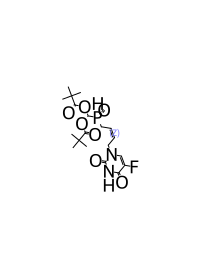 CC(C)(C)C(=O)OC(OC(=O)C(C)(C)C)[PH](=O)C/C=C\Cn1cc(F)c(=O)[nH]c1=O